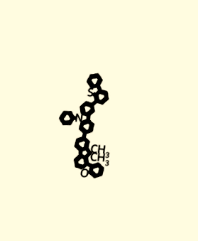 CC1(C)c2cc(-c3ccc4c5cc(-c6cccc7c6sc6ccccc67)ccc5n(-c5ccccc5)c4c3)ccc2-c2ccc3oc4ccccc4c3c21